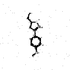 CCC1CC(c2ccc(OC)cc2)=NO1